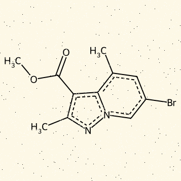 COC(=O)c1c(C)nn2cc(Br)cc(C)c12